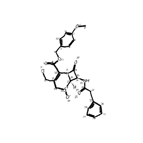 COc1ccc(COC(=O)C2=C(CCl)C[S+]([O-])[C@@H]3[C@H](NC(=O)Cc4ccccc4)C(=O)N23)cc1